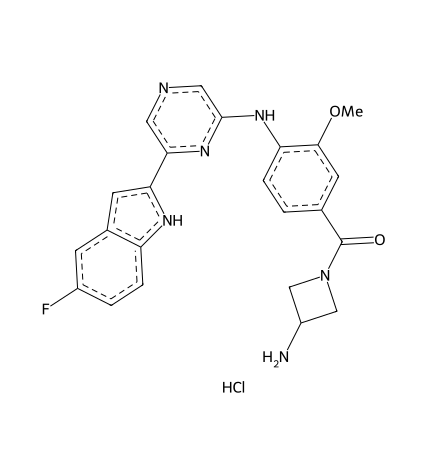 COc1cc(C(=O)N2CC(N)C2)ccc1Nc1cncc(-c2cc3cc(F)ccc3[nH]2)n1.Cl